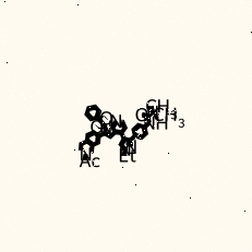 CCn1cc(-c2ccnc3c2cc(-c2ccc4c(c2)CN(C(C)=O)CC4)n3S(=O)(=O)c2ccccc2)c(-c2ccc(NC(=O)N(C)C)cc2)n1